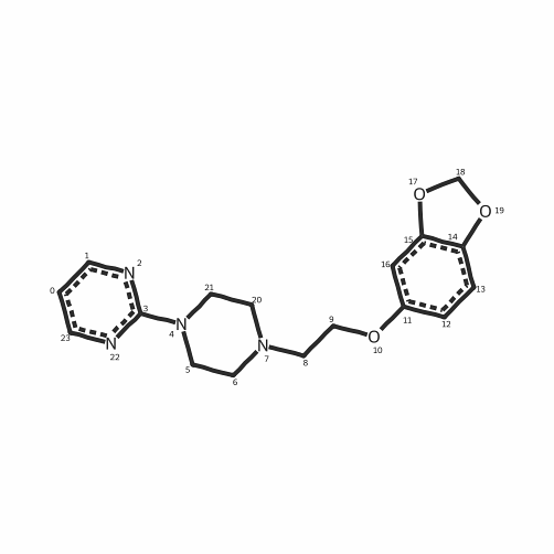 c1cnc(N2CCN(CCOc3ccc4c(c3)OCO4)CC2)nc1